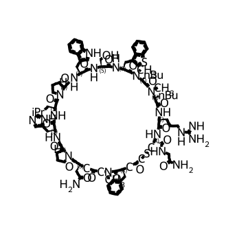 CCCC[C@H]1C(=O)N(C)[C@@H](CCCC)C(=O)N[C@@H](CCCNC(=N)N)C(=O)N[C@H](C(=O)NCC(N)=O)CSCC(=O)C[C@@H](Cc2ccccc2)C(=O)N(C)CC(=O)C[C@@H](CC(N)=O)C(=O)N2CCC[C@H]2C(=O)N[C@@H](Cc2cnc[nH]2)C(=O)N[C@@H](CC(C)C)C(=O)N2CCC[C@H]2C(=O)N[C@@H](Cc2c[nH]c3ccccc23)C(=O)N[C@@H](CO)C(=O)N[C@@H](Cc2csc3ccccc23)C(=O)N1C